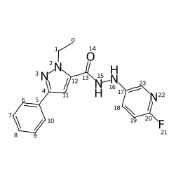 CCn1nc(-c2ccccc2)cc1C(=O)NNc1ccc(F)nc1